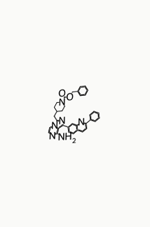 Nc1nccn2c(CC3CCN(C(=O)OCc4ccccc4)CC3)nc(-c3ccc4ccc(-c5ccccc5)nc4c3)c12